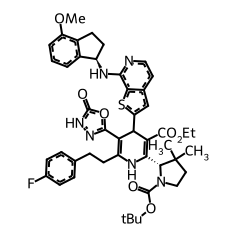 CCOC(=O)C1=C([C@H]2N(C(=O)OC(C)(C)C)CCC2(C)C)NC(CCc2ccc(F)cc2)=C(c2n[nH]c(=O)o2)C1c1cc2ccnc(N[C@@H]3CCc4c(OC)cccc43)c2s1